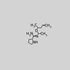 C=CCC(C)OC(C)/N=C(\N)[C@@H]1CCCN1